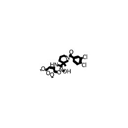 COC(=O)/C=C(/N/C(=N/O)C1(C)CCCN(C(=O)c2ccc(Cl)c(Cl)c2)C1)C(=O)OC